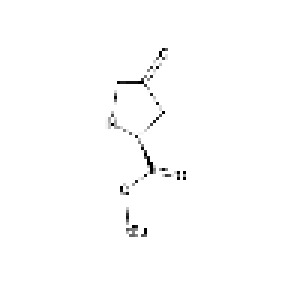 CC(C)(C)OC(=O)[C@@H]1CC(=O)CN1